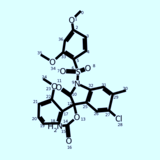 COc1ccc(S(=O)(=O)N2C(=O)C(OC(N)=O)(c3ccccc3OC)c3cc(Cl)c(C)cc32)c(OC)c1